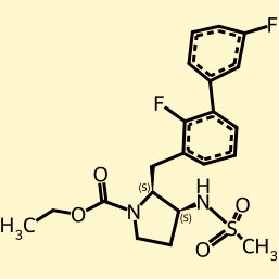 CCOC(=O)N1CC[C@H](NS(C)(=O)=O)[C@@H]1Cc1cccc(-c2cccc(F)c2)c1F